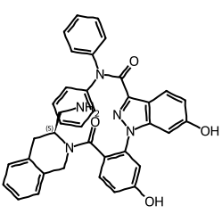 NC[C@@H]1Cc2ccccc2CN1C(=O)c1ccc(O)cc1-n1nc(C(=O)N(c2ccccc2)c2ccccc2)c2ccc(O)cc21